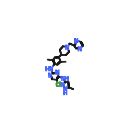 Cc1cc(Nc2nc(Nc3cc(C)c(C4CCN(Cc5cnccn5)CC4)cc3C)ncc2Cl)n[nH]1